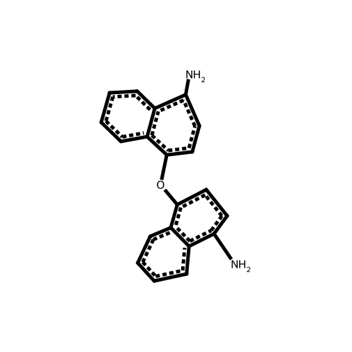 Nc1ccc(Oc2ccc(N)c3ccccc23)c2ccccc12